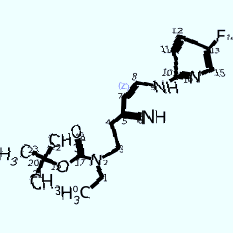 CCN(CCC(=N)/C=C\Nc1ccc(F)cn1)C(=O)OC(C)(C)C